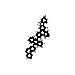 c1ccc2c(c1)ccc1cc(-c3c4ccccc4c(-c4ccc5c(c4)c4ccccc4c4cc6c(cc54)oc4ccccc46)c4ccccc34)ccc12